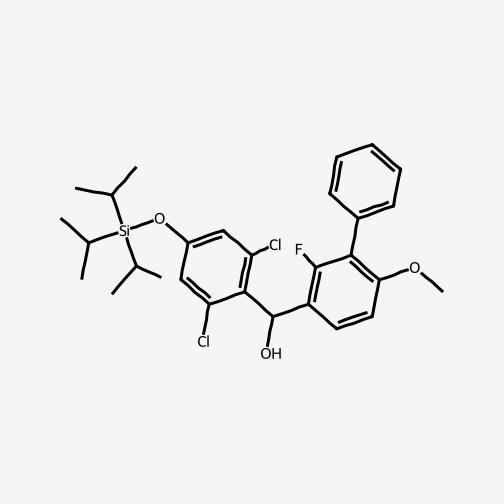 COc1ccc(C(O)c2c(Cl)cc(O[Si](C(C)C)(C(C)C)C(C)C)cc2Cl)c(F)c1-c1ccccc1